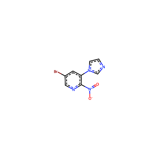 O=[N+]([O-])c1ncc(Br)cc1-n1ccnc1